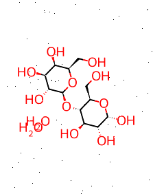 O.O.OC[C@H]1O[C@@H](O[C@H]2[C@H](O)[C@@H](O)[C@@H](O)O[C@@H]2CO)[C@H](O)[C@@H](O)[C@H]1O